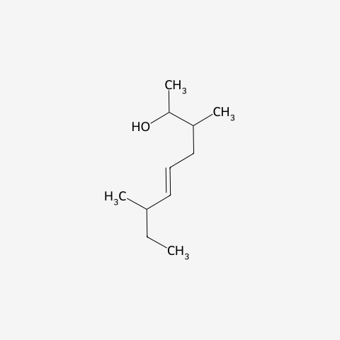 CCC(C)C=CCC(C)C(C)O